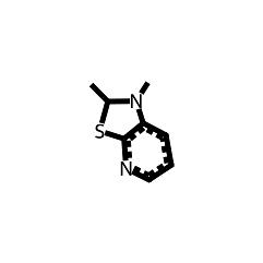 CC1Sc2ncccc2N1C